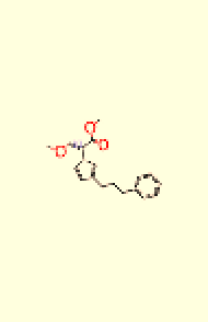 CO/C=C(/C(=O)OC)C1C=CC(CCCc2ccccc2)=C1